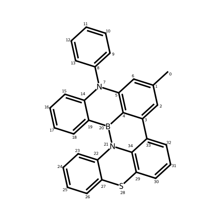 Cc1cc2c3c(c1)N(c1ccccc1)c1ccccc1B3N1c3ccccc3Sc3cccc-2c31